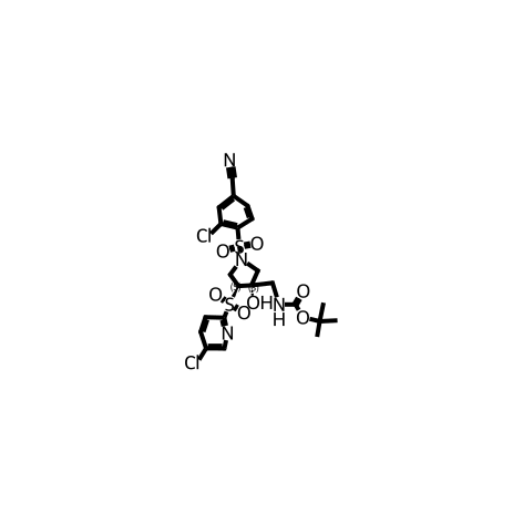 CC(C)(C)OC(=O)NC[C@]1(O)CN(S(=O)(=O)c2ccc(C#N)cc2Cl)C[C@@H]1S(=O)(=O)c1ccc(Cl)cn1